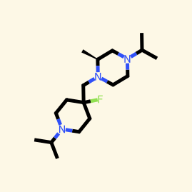 CC(C)N1CCC(F)(CN2CCN(C(C)C)C[C@@H]2C)CC1